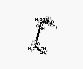 CC(=O)OC[Si](C)(C)O[Si](C)(C)COC(=O)NCCCCCCNC(=O)NC(C)CCC(C)C